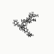 Cn1cc(-c2ccc(N(C(=O)NCc3ccccc3)C3CCC(Nc4ncc(C#N)c(N5CCC(C)(O)C5)n4)CC3)nc2)cn1